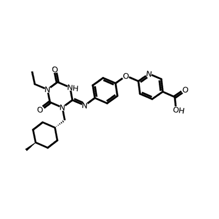 CCn1c(=O)[nH]/c(=N\c2ccc(Oc3ccc(C(=O)O)cn3)cc2)n(C[C@H]2CC[C@H](C)CC2)c1=O